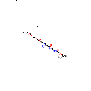 CCOCCOCCOCCOCCN/C=C(\N)CCC(=O)NCCCNC(=O)CCOCC(C)C